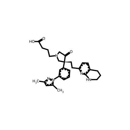 Cc1cc(C)n(-c2cccc([C@]3(CCc4ccc5c(n4)NCCC5)CN(CCCC(=O)O)CC3=O)c2)n1